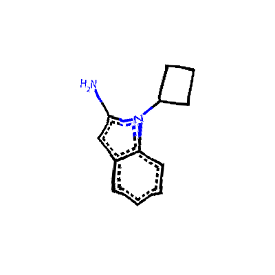 Nc1cc2ccccc2n1C1CCC1